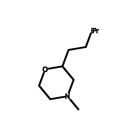 CC(C)CCC1CN(C)CCO1